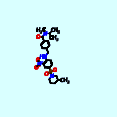 CC1CCCN(S(=O)(=O)c2ccc(NCc3ccc(C(=O)N(C)C(C)C)cc3)c([N+](=O)[O-])c2)C1